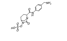 NCc1ccc(NC(=O)C2CCC3CN2C(=O)N3OS(=O)(=O)O)cc1